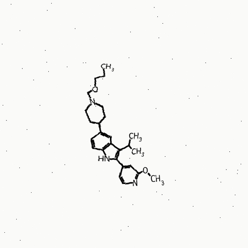 CCCOCN1CCC(c2ccc3[nH]c(-c4ccnc(OC)c4)c(C(C)C)c3c2)CC1